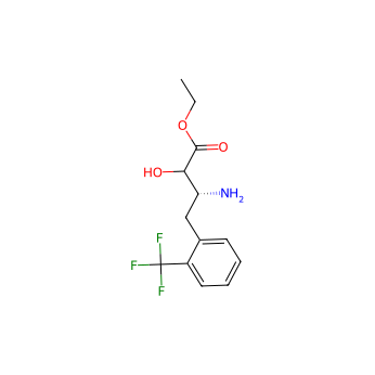 CCOC(=O)C(O)[C@H](N)Cc1ccccc1C(F)(F)F